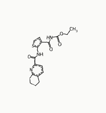 CCOC(=O)NC(=O)c1ccsc1NC(=O)c1ccc2c(n1)CCCC2